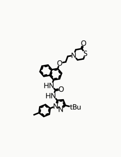 Cc1ccc(-n2nc(C(C)(C)C)cc2NC(=O)Nc2ccc(OCCN3CCSC(=O)C3)c3ccccc23)cc1